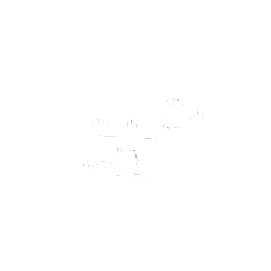 CCC(C)N(C(=O)CCN(CC)CC)C(C)CC